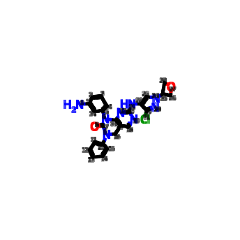 Nc1cccc(N2C(=O)N(c3ccccc3)Cc3cnc(Nc4cn(C5COC5)nc4Cl)nc32)c1